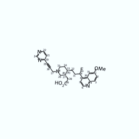 COc1ccc2nccc(C(F)CC[C@@H]3CCN(CC#Cc4ccncn4)C[C@@H]3CC(=O)O)c2c1